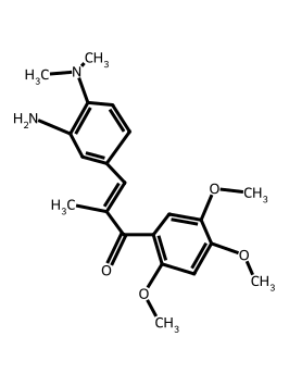 COc1cc(OC)c(C(=O)C(C)=Cc2ccc(N(C)C)c(N)c2)cc1OC